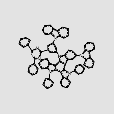 c1ccc(-c2nc(-c3ccccc3)nc(-c3cc(-n4c5ccccc5c5ccccc54)cc(-n4c5ccc(-n6c7ccccc7c7ccccc76)cc5c5c6c(c7ccccc7n6-c6ccccc6)c6c(c7ccccc7n6-c6ccccc6)c54)c3)n2)cc1